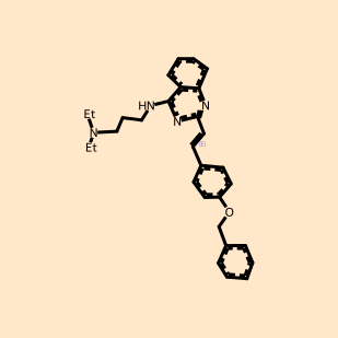 CCN(CC)CCCNc1nc(/C=C/c2ccc(OCc3ccccc3)cc2)nc2ccccc12